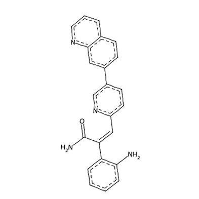 NC(=O)C(=Cc1ccc(-c2ccc3cccnc3c2)cn1)c1ccccc1N